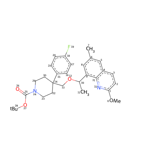 COc1ccc2cc(C)cc(C(C)OCC3(c4ccc(F)cc4)CCN(C(=O)OC(C)(C)C)CC3)c2n1